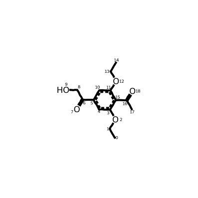 CCOc1cc(C(=O)CO)cc(OCC)c1C(C)=O